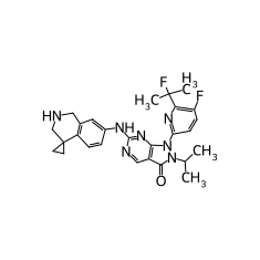 CC(C)n1c(=O)c2cnc(Nc3ccc4c(c3)CNCC43CC3)nc2n1-c1ccc(F)c(C(C)(C)F)n1